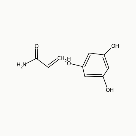 C=CC(N)=O.Oc1cc(O)cc(O)c1